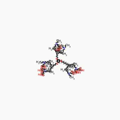 CCCN(CCC)CCC[Si](C)(C)CCC[Si](C)(CCCCOc1cc(OCCCCCC[Si](C)(CCC[Si](C)(C)CCCN(CCC)CCS(=O)(=O)O)CCC[Si](C)(C)CCCN(CCS(=O)(=O)O)CCS(=O)(=O)O)cc(OCCCC[Si](C)(CCC[Si](C)(C)CCCN(CCC)CCS(=O)(=O)O)CCC[Si](C)(C)CCCN(CCS(=O)(=O)O)CCS(=O)(=O)O)c1)CCC[Si](C)(C)CCCN(CCC)CCC(=O)S(=O)(=O)OO